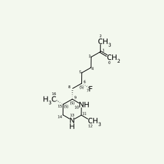 C=C(C)CCC[C@H](F)C[C@@H]1NC(C)NC[C@@H]1C